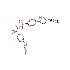 C=CCOc1ccc(C(=O)C(C)OC(=O)c2ccc(-c3ccc(CCCCCCCC)cn3)cc2)cc1